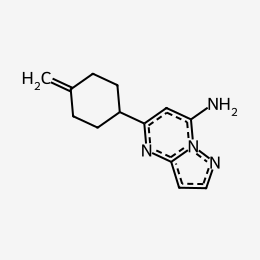 C=C1CCC(c2cc(N)n3nccc3n2)CC1